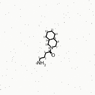 NCCCC(=O)N1CCC2CCCCC2C1